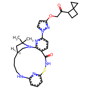 CC1(C)C[C@@H]2CCCNc3cccc(n3)SNC(=O)c3ccc(-n4ccc(OCC(=O)C5CCC56CC6)n4)nc3N1C2